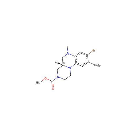 COc1cc2c(cc1Br)N(C)C[C@H]1CN(C(=O)OC(C)(C)C)CCN21